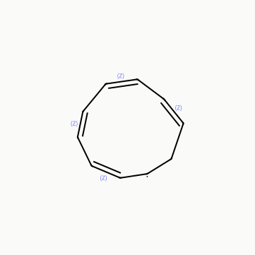 [CH]1\C=C/C=C\C=C/C=C\C1